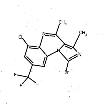 Cc1nc(Br)n2c1c(C)nc1c(Cl)cc(C(F)(F)F)cc12